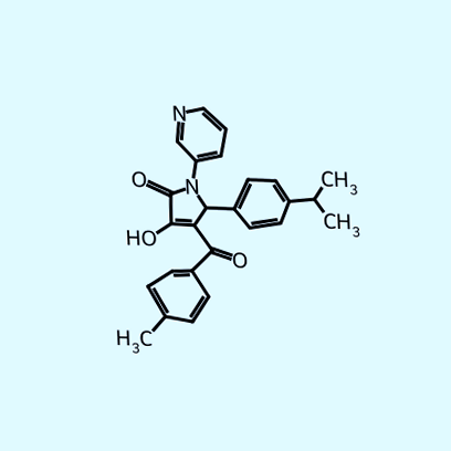 Cc1ccc(C(=O)C2=C(O)C(=O)N(c3cccnc3)C2c2ccc(C(C)C)cc2)cc1